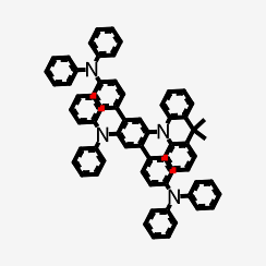 CC1(C)c2ccccc2N(c2cc(-c3ccc(N(c4ccccc4)c4ccccc4)cc3)c(N(c3ccccc3)c3ccccc3)cc2-c2ccc(N(c3ccccc3)c3ccccc3)cc2)c2ccccc21